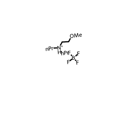 CCC[NH+](CCC)CCOC.F[B-](F)(F)F